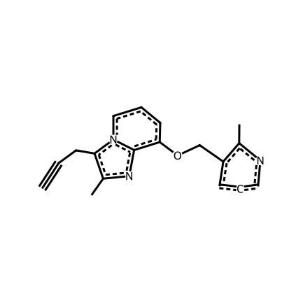 C#CCc1c(C)nc2c(OCc3cccnc3C)cccn12